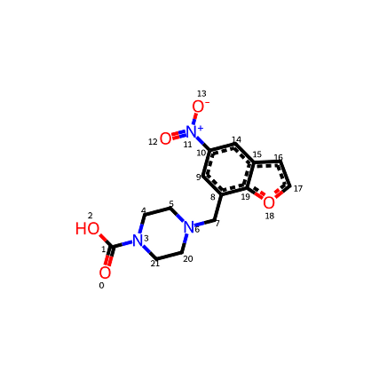 O=C(O)N1CCN(Cc2cc([N+](=O)[O-])cc3ccoc23)CC1